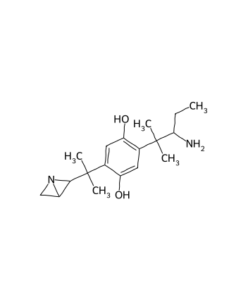 CCC(N)C(C)(C)c1cc(O)c(C(C)(C)C2C3CN32)cc1O